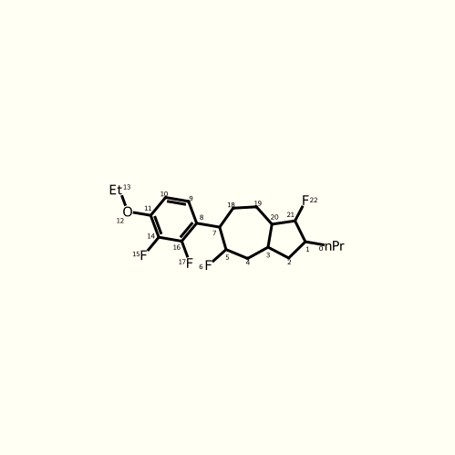 CCCC1CC2CC(F)C(c3ccc(OCC)c(F)c3F)CCC2C1F